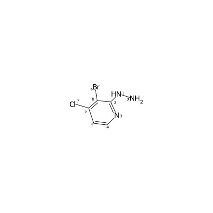 NNc1nccc(Cl)c1Br